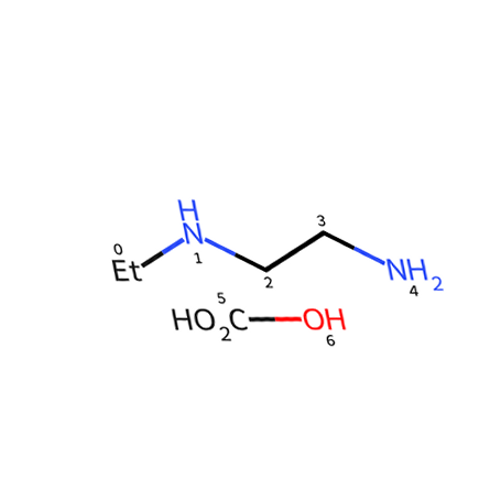 CCNCCN.O=C(O)O